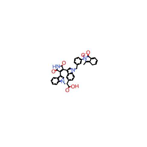 CC1=C2CC=CC=C2C(=O)[N+]1([O-])c1cccc(Cn2cc(C3=C(c4cn(C)c5ccccc45)C(=O)NC3=O)c3cc(CC(=O)O)ccc32)c1